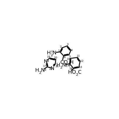 Nc1ccccc1C(=O)O.Nc1ccccc1C(=O)O.Nc1ncccn1